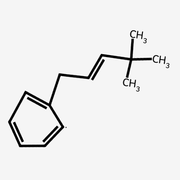 CC(C)(C)C=CCc1[c]cccc1